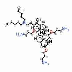 CCCCCN(CCCCC)CCC[C@@H](C)[C@H]1CC[C@H]2[C@H]3C(C[C@H](OCCCN)[C@]12C)[C@@]1(C)CC[C@@H](OCCCN)C[C@H]1C[C@H]3OCCCN